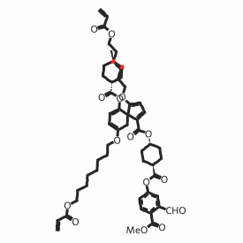 C=CC(=O)OCCCCCCCCOC1=CC=C(OC(=O)[C@H]2CC[C@H](C)CC2)C2(C1)C(OCCCCCCOC(=O)C=C)=CC=C2C(=O)O[C@H]1CC[C@H](C(=O)Oc2ccc(C(=O)OC)c(C=O)c2)CC1